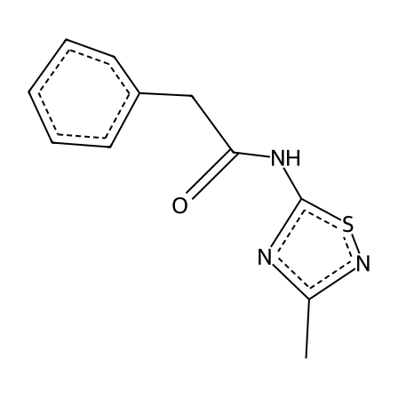 Cc1nsc(NC(=O)Cc2ccccc2)n1